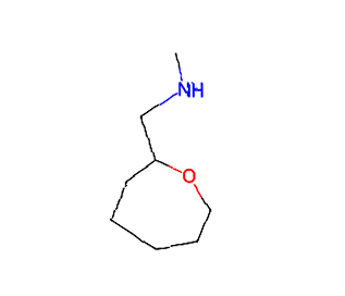 CNCC1CCCCCO1